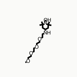 COCCOCCOCCOCCNC1CC(C)(C)N(O)C(C)(C)C1